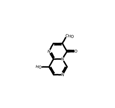 O=Cc1cnc2c(O)cncn2c1=O